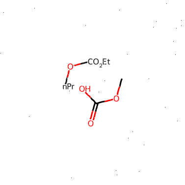 CCCOC(=O)OCC.COC(=O)O